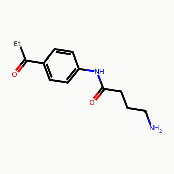 CCC(=O)c1ccc(NC(=O)CCCN)cc1